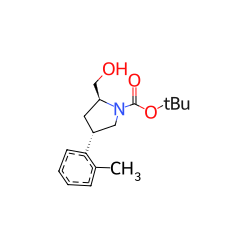 Cc1ccccc1[C@@H]1C[C@@H](CO)N(C(=O)OC(C)(C)C)C1